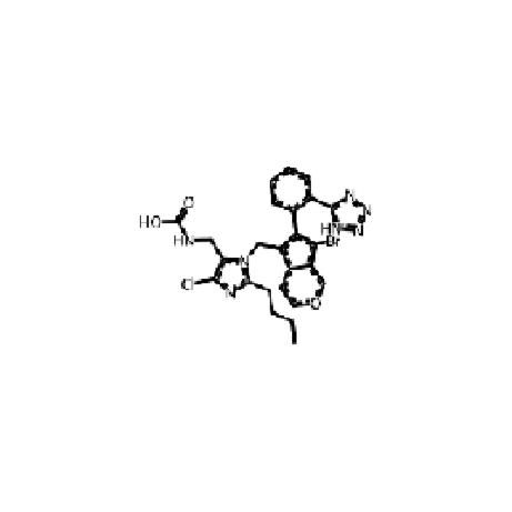 CCCCc1nc(Cl)c(CNC(=O)O)n1Cc1c2ccocc-2c(Br)c1-c1ccccc1-c1nnn[nH]1